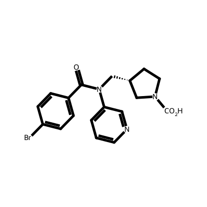 O=C(O)N1CC[C@@H](CN(C(=O)c2ccc(Br)cc2)c2cccnc2)C1